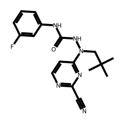 CC(C)(C)CN(NC(=O)Nc1cccc(F)c1)c1ccnc(C#N)n1